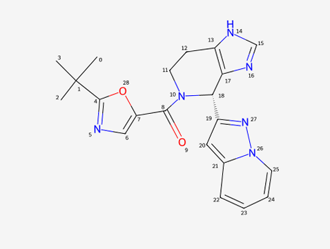 CC(C)(C)c1ncc(C(=O)N2CCc3[nH]cnc3[C@@H]2c2cc3ccccn3n2)o1